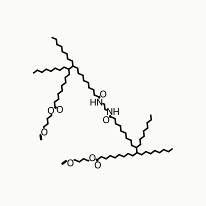 C=COCCCCOC(=O)CCCCCCCCC(CCCCCCCC)C(CCCCCCCC)CCCCCCCCC(=O)NCCNC(=O)CCCCCCCCC(CCCCCCCC)C(CCCCCCCC)CCCCCCCCC(=O)OCCCCOC=C